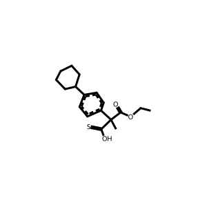 CCOC(=O)C(C)(C(O)=S)c1ccc(C2CCCCC2)cc1